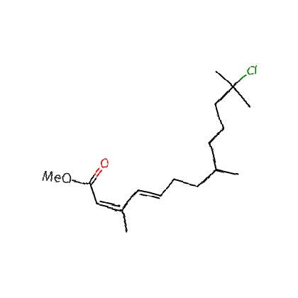 COC(=O)C=C(C)C=CCCC(C)CCCC(C)(C)Cl